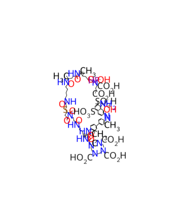 Cc1cc(-c2ccc(NC(=O)[C@@H](CCCCNC(=O)CCN3C(=O)CC(SCC(=O)NCCCCCC(=O)NC(C)CCC(=O)N[C@H](C)CCCOCN(PO)C(CCC(=O)O)C(=O)O)C3=O)NC(=O)CN3CCN(CC(=O)O)CCN(CC(=O)O)CCN(CC(=O)O)CC3)c(C)c2)ccc1/N=N\c1ccc2c(S(=O)(=O)O)cc(S(=O)(=O)O)c(N)c2c1O